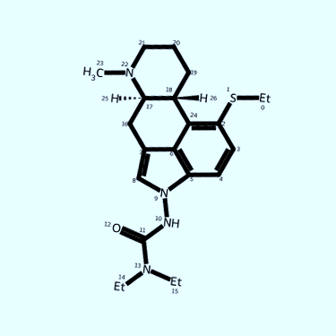 CCSc1ccc2c3c(cn2NC(=O)N(CC)CC)C[C@@H]2[C@H](CCCN2C)c13